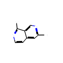 Cc1cc2ccnc(C)c2cn1